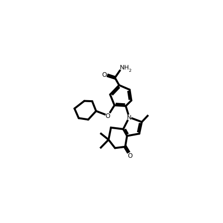 Cc1cc2c(n1-c1ccc(C(N)=O)cc1OC1CCCCC1)CC(C)(C)CC2=O